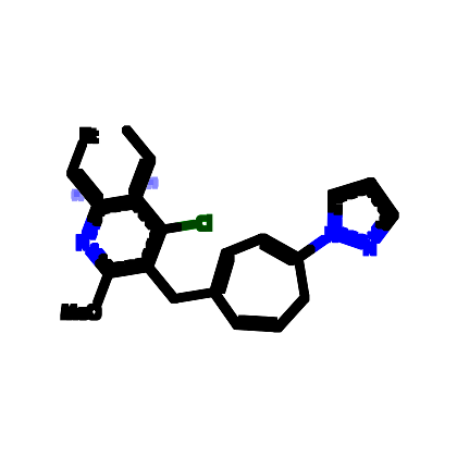 C/C=c1/c(Cl)c(CC2=CC=C(n3cccn3)CC=C2)c(OC)n/c1=C/CC